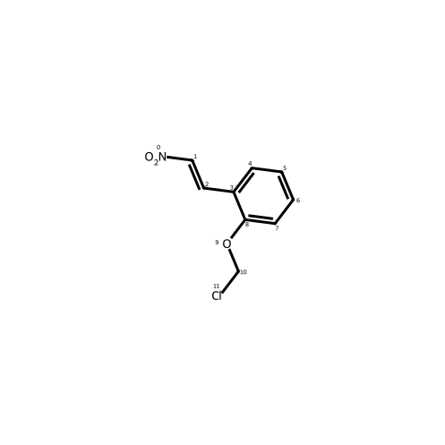 O=[N+]([O-])C=Cc1ccccc1OCCl